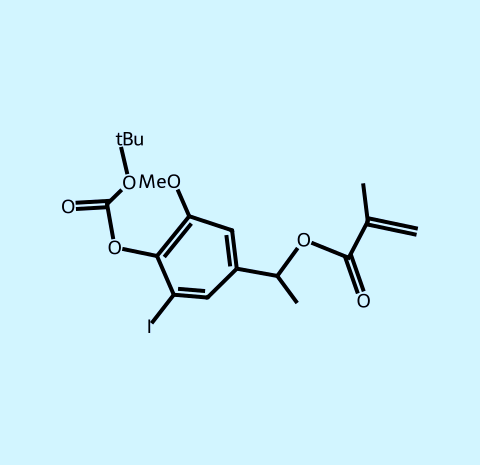 C=C(C)C(=O)OC(C)c1cc(I)c(OC(=O)OC(C)(C)C)c(OC)c1